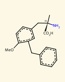 COc1ccc(C[C@](C)(N)C(=O)O)cc1Cc1ccccc1